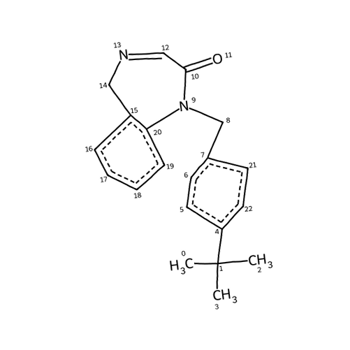 CC(C)(C)c1ccc(CN2C(=O)C=NCc3ccccc32)cc1